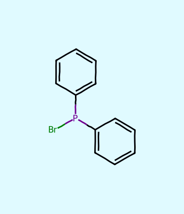 BrP(c1ccccc1)c1ccccc1